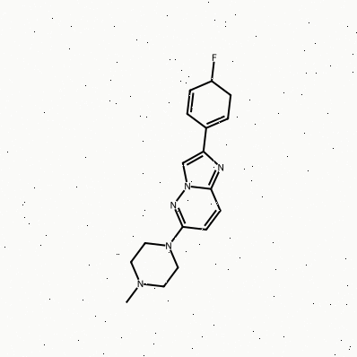 CN1CCN(c2ccc3nc(C4=CCC(F)C=C4)cn3n2)CC1